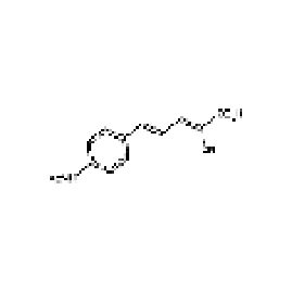 CC(=O)Nc1ccc(/C=C/C=C(\C#N)C(=O)O)cc1